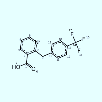 O=C(O)c1cccnc1Cc1ccc(C(F)(F)F)cc1